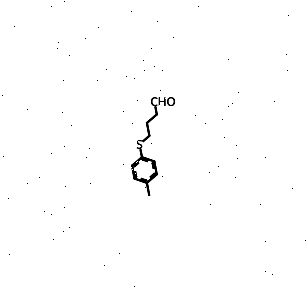 Cc1ccc(SCCCC=O)cc1